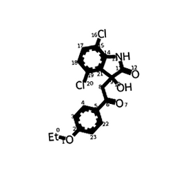 CCOc1ccc(C(=O)CC2(O)C(=O)Nc3c(Cl)ccc(Cl)c32)cc1